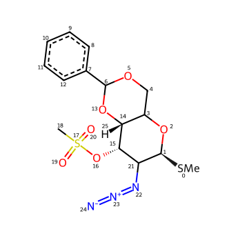 CS[C@@H]1OC2COC(c3ccccc3)O[C@H]2[C@@H](OS(C)(=O)=O)C1N=[N+]=[N-]